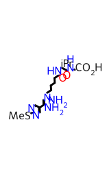 CSc1ncc(/C(N)=C/N(N)CCCCCC(=O)NC(C(=O)NCC(=O)O)C(C)C)cn1